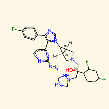 Nc1nccc(-c2c(-c3ccc(F)cc3)ncn2C2[C@H]3CN(C[C@@](O)(CN4CNCN4)C4CCC(F)CC4F)C[C@@H]23)n1